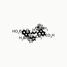 CCn1nc(C)cc1C(=O)N[C@@]1(N)[C@@H]2c3c(cc(C(=O)O)cc3[C@@H]1N)OC[C@H]2C/C=C/C[C@@H]1COc2cc(C(=O)O)cc3c2C1[C@@](N)(NC(=O)C(C)(C)C)C3N